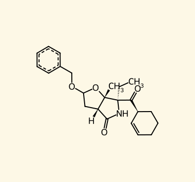 CC[C@]1(C(=O)[C@@H]2C=CCCC2)NC(=O)[C@@H]2CC(OCc3ccccc3)O[C@@]21C